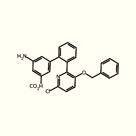 Nc1cc(C(=O)O)cc(-c2ccccc2-c2nc(Cl)ccc2OCc2ccccc2)c1